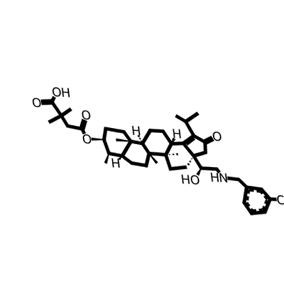 CC(C)C1=C2[C@H]3CC[C@@H]4[C@@]5(C)CC[C@H](OC(=O)CC(C)(C)C(=O)O)[C@H](C)[C@@H]5CC[C@@]4(C)[C@]3(C)CC[C@@]2([C@H](O)CNCc2cccc(Cl)c2)CC1=O